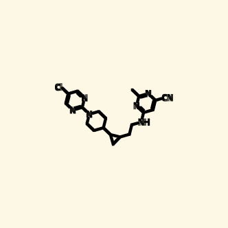 Cc1nc(C#N)cc(NCCC2CC2C2CCN(c3ncc(Cl)cn3)CC2)n1